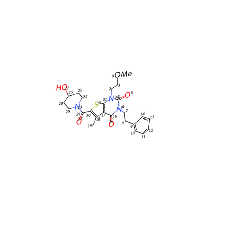 COCCn1c(=O)n(CCc2ccccc2)c(=O)c2c(C)c(C(=O)N3CCC(O)CC3)sc21